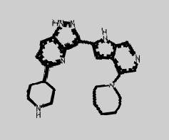 c1cc2[nH]nc(-c3cc4c(N5CCCCC5)cncc4[nH]3)c2nc1C1CCNCC1